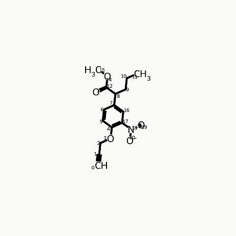 C#CCOc1ccc(C(CCC)C(=O)OC)cc1[N+](=O)[O-]